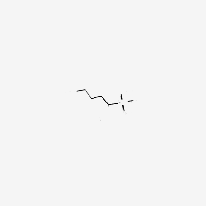 CCCCCCCCCCCCCC[P+](CCCCCCCC)(CCCCCCCC)CCCCCCCC.[Br-]